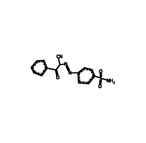 N#CC(/N=N/c1ccc(S(N)(=O)=O)cc1)C(=O)c1ccccc1